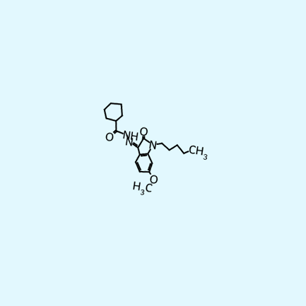 CCCCCN1C(=O)C(=NNC(=O)C2CCCCC2)c2ccc(OC)cc21